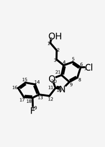 OCCCc1cc(Cl)cc2nc(Cc3ccccc3F)oc12